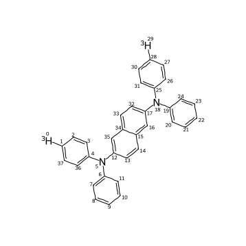 [3H]c1ccc(N(c2ccccc2)c2ccc3cc(N(c4ccccc4)c4ccc([3H])cc4)ccc3c2)cc1